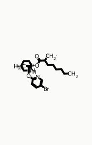 [CH2]C(CCCCCC)C(=O)O[C@]12CC[C@@H](CN1)C[C@H]2Oc1ccc(Br)cn1